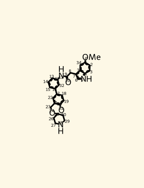 COc1ccc2[nH]cc(CC(=O)Nc3cccc(-c4ccc5c(c4)COC4(CCNCC4)O5)c3)c2c1